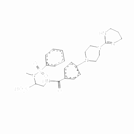 CN(C(CNC(=O)c1ccc(N2CCN(C3=NCCCN3)CC2)cc1)C(=O)O)S(=O)(=O)c1ccccc1